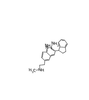 CNCCc1ccc2nc(N)c(C3CCc4ccccc43)cc2c1.N